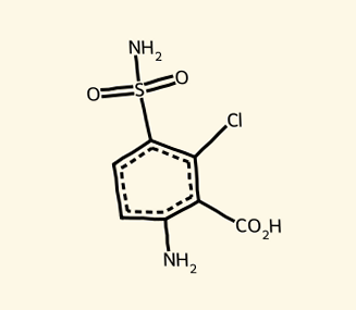 Nc1ccc(S(N)(=O)=O)c(Cl)c1C(=O)O